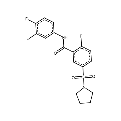 O=C(Nc1ccc(F)c(F)c1)c1cc(S(=O)(=O)N2CCCC2)ccc1F